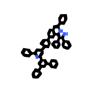 N=C(/C(=C1\NC(c2ccccc2)=Cc2ccc(-c3ccc(-c4cc(-c5ccccc5)nc(-c5cc(-c6ccccc6)cc(-c6ccccc6)c5)c4)cc3)cc21)c1ccccc1)c1ccccc1